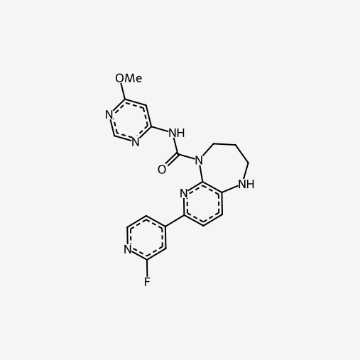 COc1cc(NC(=O)N2CCCNc3ccc(-c4ccnc(F)c4)nc32)ncn1